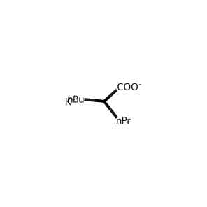 CCCCC(CCC)C(=O)[O-].[K+]